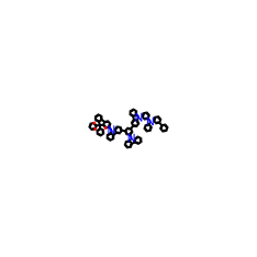 c1ccc(-c2cccc(N(c3ccccc3)c3cccc(-n4c5ccccc5c5cc(-c6cc(-c7ccc8c(c7)c7ccccc7n8-c7ccc8c(c7)C(c7ccccc7)(c7ccccc7)c7ccccc7-8)cc(-n7c8ccccc8c8ccccc87)c6)ccc54)c3)c2)cc1